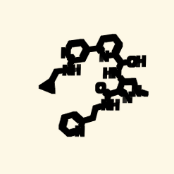 Cn1cc(NC(O)c2cccc(-c3ccnc(NCC4CC4)c3)n2)c(C(=O)NCCc2ccccn2)n1